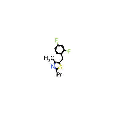 Cc1nc(C(C)C)sc1Cc1ccc(F)cc1F